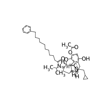 CC(=O)Oc1cc(O)c2c3c1O[C@H]1[C@@H](N(C(=O)CCCCCCCCCCc4ccccc4)C(C)C)CC[C@H]4[C@@H](C2)N(CC2CC2)CC[C@@]341